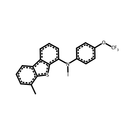 Cc1cccc2c1sc1c(N(I)c3ccc(OC(F)(F)F)cc3)cccc12